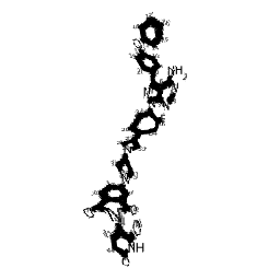 Nc1ncnc2c1c(-c1ccc(Oc3ccccc3)cc1)nn2C1CCC(C2CN(C3CN(c4ccc5c(c4)C(=O)N(C4CCC(=O)NC4=O)C5=O)C3)C2)CC1F